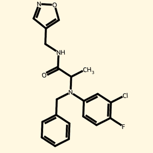 CC(C(=O)NCc1cnoc1)N(Cc1ccccc1)c1ccc(F)c(Cl)c1